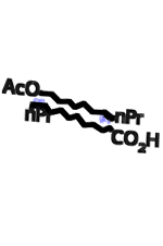 CCC/C=C/CCCCCCCOC(C)=O.CCC/C=C\CCCCCCCCC(=O)O